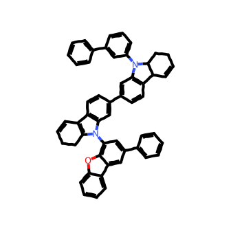 C1=Cc2c(n(-c3cc(-c4ccccc4)cc4c3oc3ccccc34)c3cc(-c4ccc5c(c4)N(c4cccc(-c6ccccc6)c4)C4CCC=CC54)ccc23)CC1